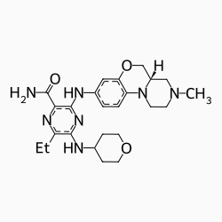 CCc1nc(C(N)=O)c(Nc2ccc3c(c2)OC[C@@H]2CN(C)CCN32)nc1NC1CCOCC1